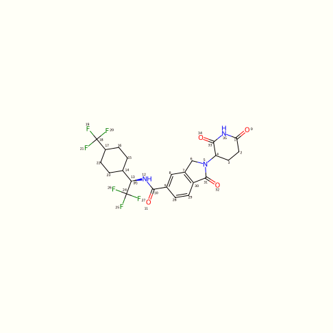 O=C1CCC(N2Cc3cc(C(=O)N[C@H](C4CCC(C(F)(F)F)CC4)C(F)(F)F)ccc3C2=O)C(=O)N1